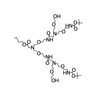 CCCCOC(=O)CN(CCOCCNC(=O)CN(CCOCCO)CCOCCNC(=O)OC(C)(C)C)CCOCCNC(=O)CN(CCOCCO)CCOCCNC(=O)OC(C)(C)C